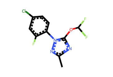 Cc1nc(OC(F)F)n(-c2ccc(Cl)cc2F)n1